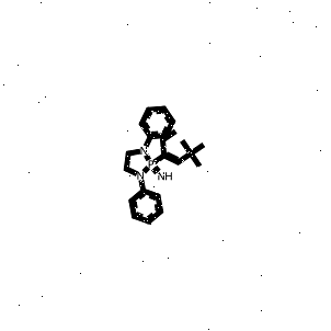 CC/C(=C\C(C)(C)C)P1(=N)N(c2ccccc2)CCN1c1ccccc1